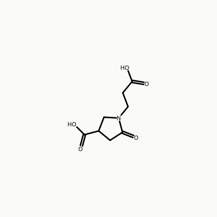 O=C(O)CCN1CC(C(=O)O)CC1=O